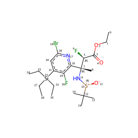 CCOC(=O)[C@H](F)[C@](C)(N[S@@+]([O-])C(C)(C)C)c1nc(Br)cc([Si](CC)(CC)CC)c1F